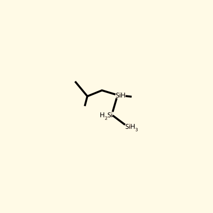 CC(C)C[SiH](C)[SiH2][SiH3]